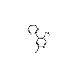 Cc1nnc(Cl)cc1-c1ncccn1